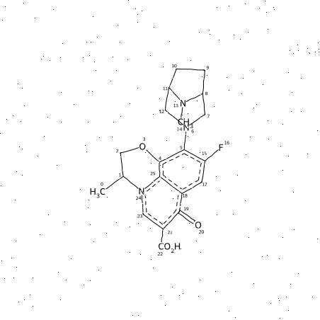 CC1COc2c(N3CC4CCC(C3)N4C)c(F)cc3c(=O)c(C(=O)O)cn1c23